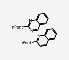 CCCCCc1ccc2ccccc2n1.CCCCCc1ncc2ccccc2n1